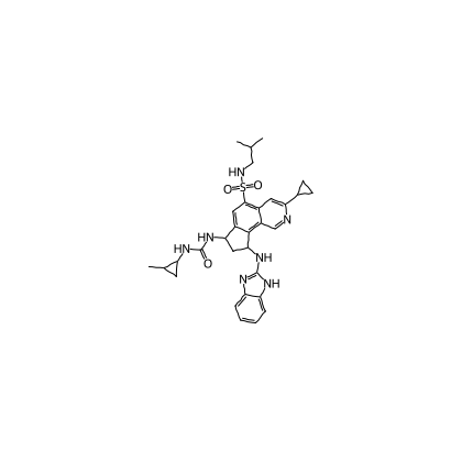 CC(C)CNS(=O)(=O)c1cc2c(c3cnc(C4CC4)cc13)C(Nc1nc3ccccc3[nH]1)CC2NC(=O)NC1CC1C